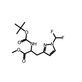 COC(=O)C(Cc1ccn(C(F)F)n1)NC(=O)OC(C)(C)C